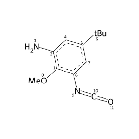 COc1c(N)cc(C(C)(C)C)cc1N=C=O